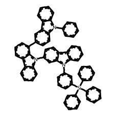 c1ccc(-n2c3ccccc3c3cc(-c4cccc5c6ccccc6n(-c6ccc7c8ccccc8n(-c8cccc([Si](c9ccccc9)(c9ccccc9)c9ccccc9)c8)c7c6)c45)ccc32)cc1